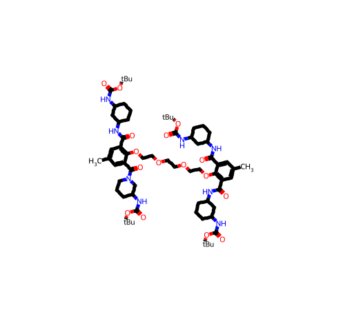 Cc1cc(C(=O)NC2CCCC(NC(=O)OC(C)(C)C)C2)c(OCCOCCOCCOc2c(C(=O)NC3CCCC(NC(=O)OC(C)(C)C)C3)cc(C)cc2C(=O)N2CCCC(NC(=O)OC(C)(C)C)C2)c(C(=O)NC2CCCC(NC(=O)OC(C)(C)C)C2)c1